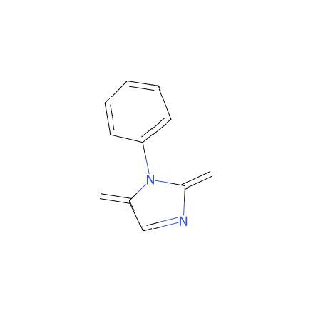 C=c1cnc(=C)n1-c1ccccc1